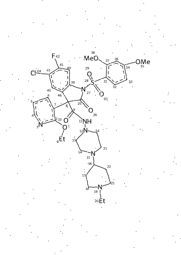 CCOc1ncccc1C1(C(=O)NN2CCN(C3CCN(CC)CC3)CC2)C(=O)N(S(=O)(=O)c2ccc(OC)cc2OC)c2cc(F)c(Cl)cc21